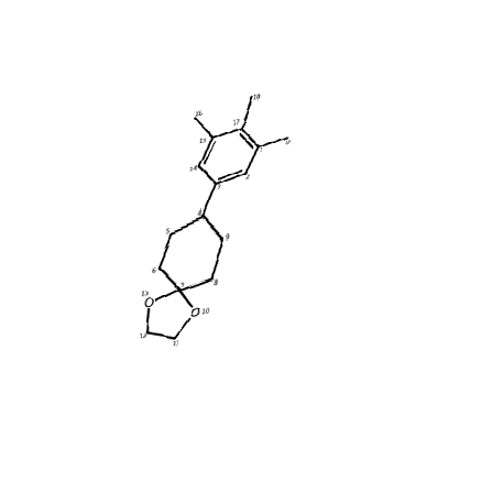 Cc1cc(C2CCC3(CC2)OCCO3)cc(C)c1C